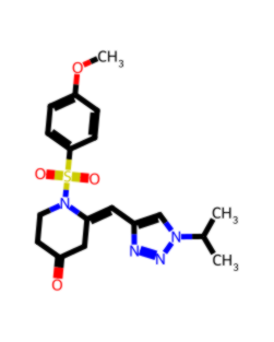 COc1ccc(S(=O)(=O)N2CCC(=O)CC2=Cc2cn(C(C)C)nn2)cc1